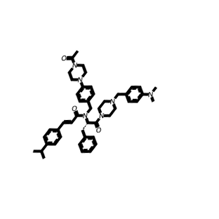 CC(=O)N1CCN(c2ccc(CN(C(=O)C=Cc3ccc(C(C)C)cc3)[C@@H](Cc3ccccc3)C(=O)N3CCN(Cc4ccc(N(C)C)cc4)CC3)cc2)CC1